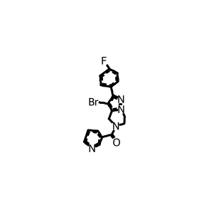 O=C(c1cccnc1)N1CCn2nc(-c3ccc(F)cc3)c(Br)c2C1